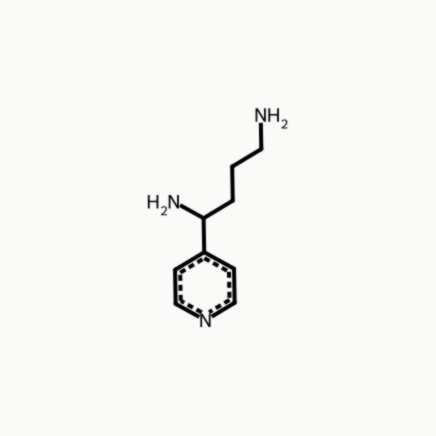 NCCCC(N)c1ccncc1